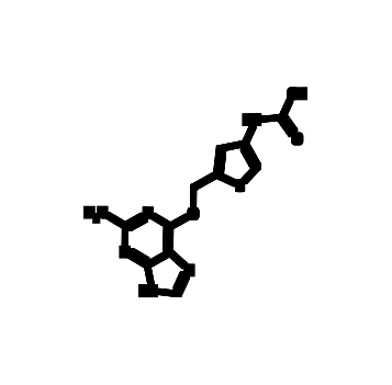 Nc1nc(OCc2cc(NC(=O)O)cs2)c2nc[nH]c2n1